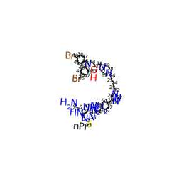 CCCSc1nc(NCCN)c(N)c(N(N)Cc2ccc(-c3cn(CCCCCN4CCN(CC(O)Cn5c6ccc(Br)cc6c6cc(Br)ccc65)CC4)nn3)cc2)n1